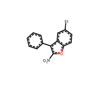 CCc1ccc2oc([N+](=O)[O-])c(-c3ccccc3)c2c1